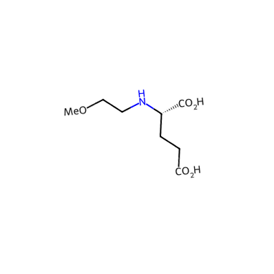 COCCN[C@@H](CCC(=O)O)C(=O)O